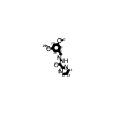 COc1cc(C=NNC(=O)c2ncccn2)cc(OC)c1